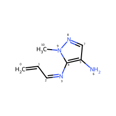 C=C/C=N\c1c(N)cnn1C